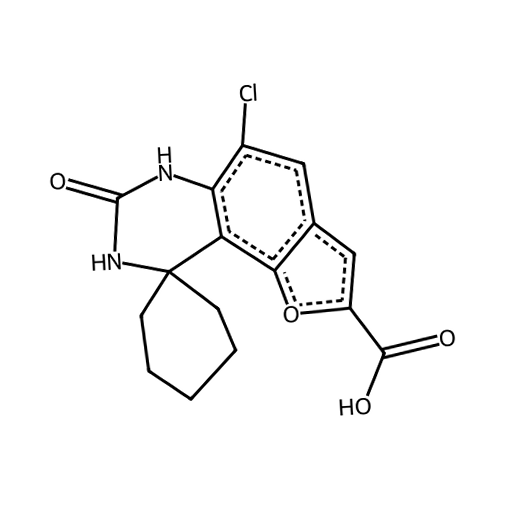 O=C1Nc2c(Cl)cc3cc(C(=O)O)oc3c2C2(CCCCC2)N1